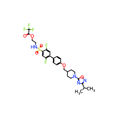 CC(C)c1noc(N2CCC(COc3ccc(-c4cc(F)c(S(=O)(=O)NCCOC(=O)C(F)(F)F)cc4F)cc3)CC2)n1